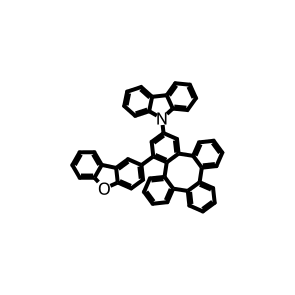 c1ccc2c(c1)-c1ccccc1-c1cc(-n3c4ccccc4c4ccccc43)cc(-c3ccc4oc5ccccc5c4c3)c1-c1ccccc1-2